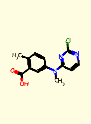 Cc1ccc(N(C)c2ccnc(Cl)n2)cc1C(=O)O